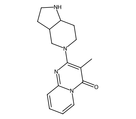 Cc1c(N2CCC3NCCC3C2)nc2ccccn2c1=O